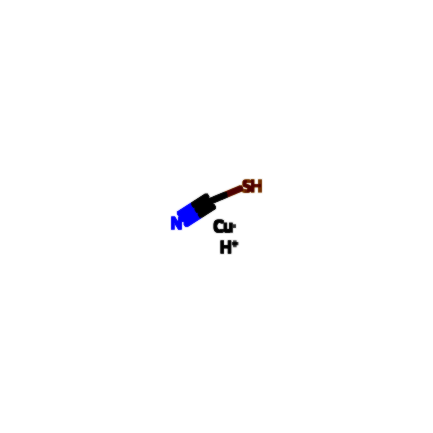 N#CS.[Cu].[H+]